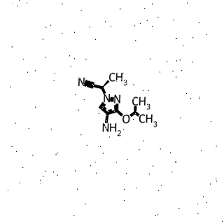 CC(C)Oc1nn([C@H](C)C#N)cc1N